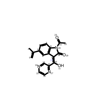 C=C(C)c1ccc2c(c1)/C(=C(/O)c1cnccn1)C(=O)N2C(C)=O